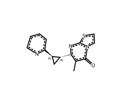 Cc1c([C@@H]2C[C@H]2c2ccccn2)nc2sccn2c1=O